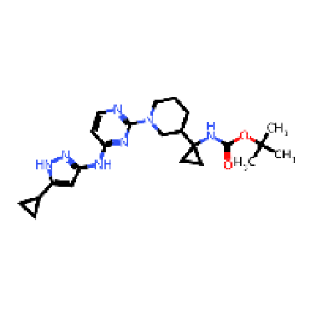 CC(C)(C)OC(=O)NC1(C2CCCN(c3nccc(Nc4cc(C5CC5)[nH]n4)n3)C2)CC1